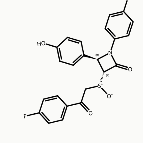 O=C(C[S+]([O-])[C@H]1C(=O)N(c2ccc(F)cc2)[C@@H]1c1ccc(O)cc1)c1ccc(F)cc1